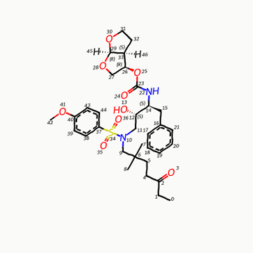 CCC(=O)CCC(C)(C)CN(C[C@H](O)[C@H](Cc1ccccc1)NC(=O)O[C@H]1CO[C@H]2OCC[C@H]21)S(=O)(=O)c1ccc(OC)cc1